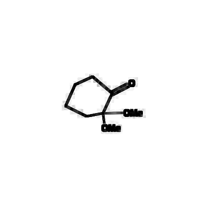 COC1(OC)CCCCC1=O